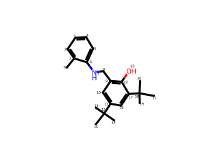 Cc1ccccc1NCc1cc(C(C)(C)C)cc(C(C)(C)C)c1O